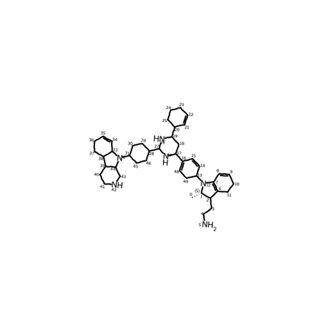 C[C@H]1C(CCN)C2=C(C=CCC2)N1C1C=CC(C2CC(C3C=CCCC3)NC(C3CCC(N4C5C=CCCC5C5CCNCC54)CC3)N2)=CC1